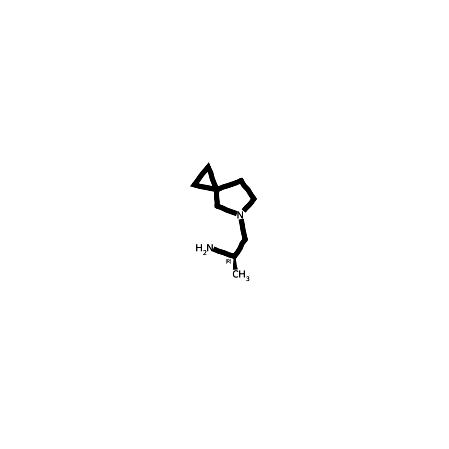 C[C@@H](N)CN1CCC2(CC2)C1